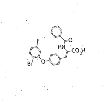 O=C(O)/C(=C/c1ccc(Oc2cc(F)ccc2Br)cc1)NC(=O)c1ccccc1